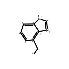 C[CH]c1cccc2[nH]cnc12